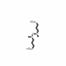 CCCCCCCCCCCCCN(C)ON(C)CCCCCCCCCCCCC